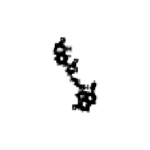 C#Cc1ccc2ccc(=O)n3c2c1[C@H](NCCC[C@@H]1CN(c2ccc4c(c2)NC(=O)CS4)C(=O)O1)C3